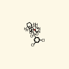 O=C(c1cnn[nH]1)N1[C@@H]2CC[C@H]1[C@H]1CN(S(=O)(=O)c3cc(Cl)cc(Cl)c3)C[C@H]12